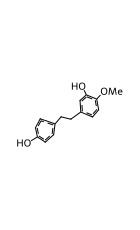 COc1ccc(CCc2ccc(O)cc2)cc1O